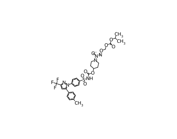 Cc1ccc(-c2cc(C(F)(F)F)nn2-c2ccc(S(=O)(=O)NC(=O)OC3CCN([N+]([O-])=NOCOC(=O)OC(C)C)CC3)cc2)cc1